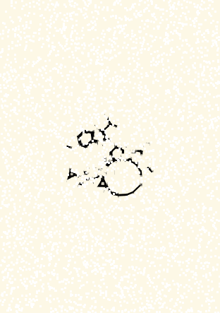 CC[C@@H]1C[C@H](C)CC/C=C\[C@@H]2C[C@@]2(C(=O)NS(=O)(=O)C2CC2)NC(=O)[C@@H]2C[C@@H](Oc3nc4cc(OC)ccc4nc3C(C)C)CN2C(=O)[C@H]1NC(=O)O